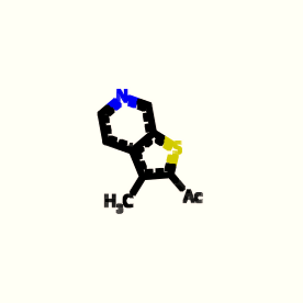 CC(=O)c1sc2cnccc2c1C